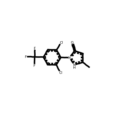 Cc1cc(=O)n(-c2c(Cl)cc(C(F)(F)F)cc2Cl)[nH]1